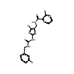 Cc1nccnc1C(=O)N(C)Cc1nc(NC(=O)NCc2cccc(F)c2)sc1Cl